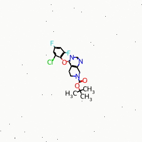 CC(C)(C)OC(=O)N1CCc2c(ncnc2Oc2c(F)cc(F)cc2Cl)C1